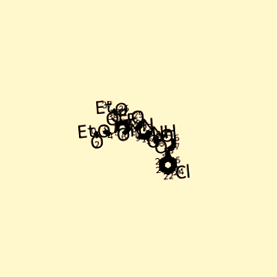 CCC(=O)OC[C@H]1O[C@@H](n2ccc(NP3(=O)OCCC(c4cccc(Cl)c4)O3)nc2=O)C(F)(F)[C@@H]1OC(=O)CC